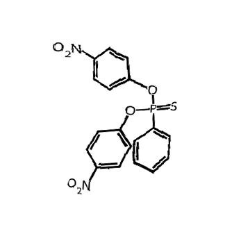 O=[N+]([O-])c1ccc(OP(=S)(Oc2ccc([N+](=O)[O-])cc2)c2ccccc2)cc1